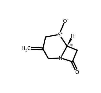 C=C1CN2C(=O)C[C@H]2[S+]([O-])C1